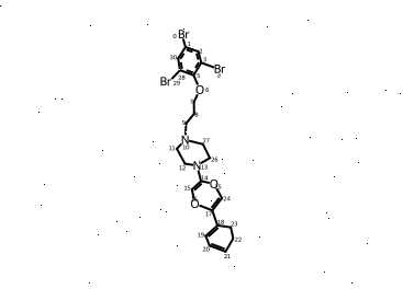 Brc1cc(Br)c(OCCCN2CCN(C3=COC(C4=CC=CCC4)=CO3)CC2)c(Br)c1